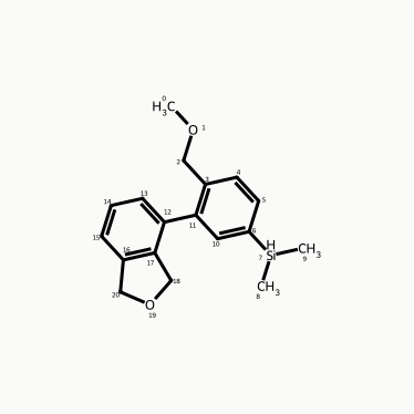 COCc1ccc([SiH](C)C)cc1-c1cccc2c1COC2